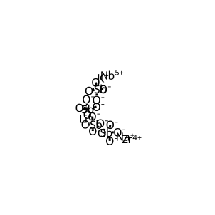 [K+].[Li+].[Na+].[Nb+5].[O]=[Sb]([O-])([O-])[O-].[O]=[Sb]([O-])([O-])[O-].[O]=[Sb]([O-])([O-])[O-].[O]=[Sb]([O-])([O-])[O-].[Zr+4]